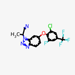 CC(C#N)n1nnc2ccc(Oc3c(F)cc(C(F)(F)F)cc3Cl)cc21